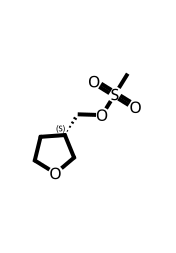 CS(=O)(=O)OC[C@H]1CCOC1